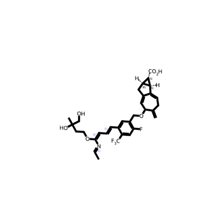 C=C1CC=C2C(=CC1OCc1cc(/C=C/C=C(\N=C\C)OCCC(C)(O)CO)c(C(F)(F)F)cc1F)C[C@H]1[C@H](C(=O)O)[C@@H]21